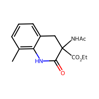 CCOC(=O)C1(NC(C)=O)Cc2cccc(C)c2NC1=O